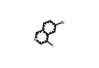 Fc1cncc2ccc(Br)cc12